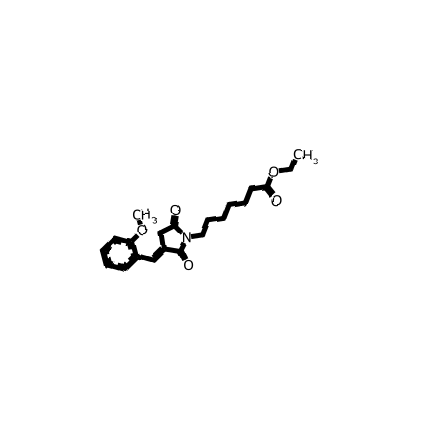 CCOC(=O)CCCCCCN1C(=O)CC(=Cc2ccccc2OC)C1=O